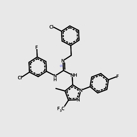 Cc1c(C(F)(F)F)nn(-c2ccc(F)cc2)c1N/C(=N\Cc1cccc(Cl)c1)Nc1cc(F)cc(Cl)c1